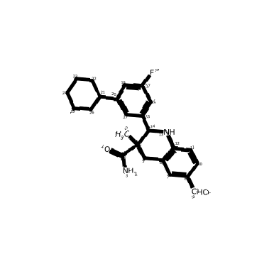 CC1(C(N)=O)Cc2cc([C]=O)ccc2NC1c1cc(F)cc(C2CCCCC2)c1